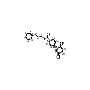 O=C(NCCCc1ccccc1)c1ccc(-n2nc(Cl)ccc2=O)cc1